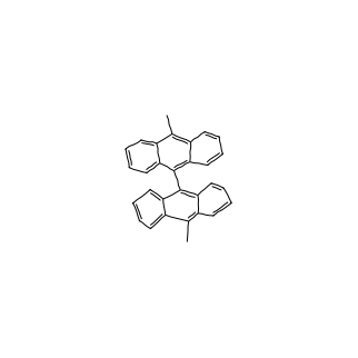 Cc1c2ccccc2c(-c2c3ccccc3c(C)c3ccccc23)c2ccccc12